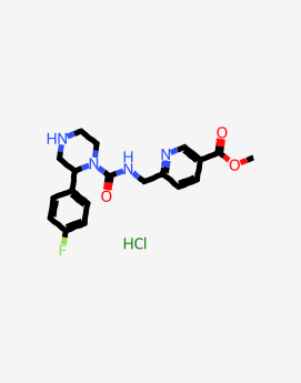 COC(=O)c1ccc(CNC(=O)N2CCNCC2c2ccc(F)cc2)nc1.Cl